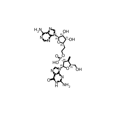 C=C1[C@@H](P(=O)(O)OCC[C@H]2O[C@@H](n3cnc4c(N)ncnc43)[C@H](O)[C@@H]2O)[C@H](n2cnc3c(=O)[nH]c(N)nc32)O[C@@H]1CO